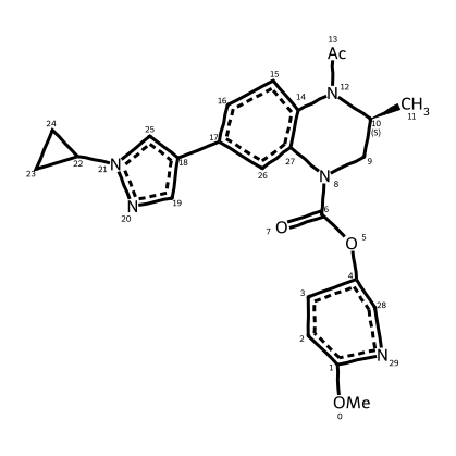 COc1ccc(OC(=O)N2C[C@H](C)N(C(C)=O)c3ccc(-c4cnn(C5CC5)c4)cc32)cn1